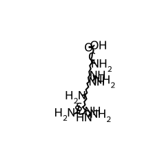 N=C(N)NC(CCCCCC(N)CCCCC(=O)O)CCCCC(N)CCCC1SSC(CN)CCC1NC(=N)N